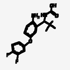 CC(C)(C)C(NC(=O)O)c1cc(Oc2ccc(F)c(F)c2)ccc1N